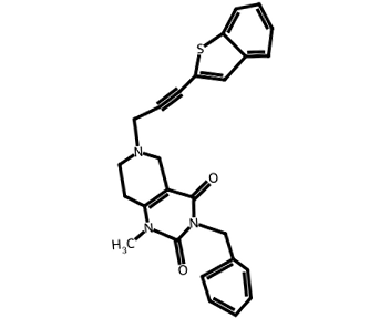 Cn1c2c(c(=O)n(Cc3ccccc3)c1=O)CN(CC#Cc1cc3ccccc3s1)CC2